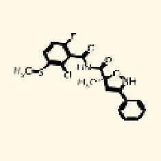 CSc1ccc(F)c(C(=O)NC(=O)[C@]2(C)C=C(c3ccccc3)NO2)c1Cl